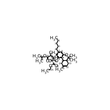 CCCCCc1cc2c(c(OP(=O)(NC(C)C(=O)OC(C)C)C(=O)OCC)c1)C1CC(C)=CCC1C(C)(C)O2